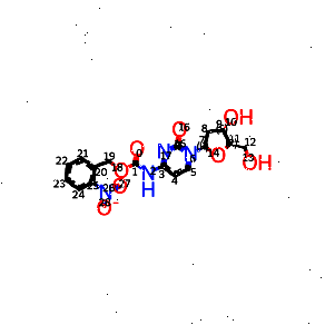 O=C(Nc1ccn([C@H]2C[C@H](O)[C@@H](CO)O2)c(=O)n1)OCc1ccccc1[N+](=O)[O-]